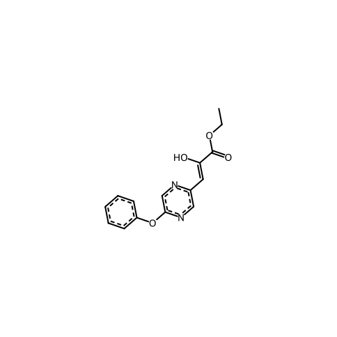 CCOC(=O)/C(O)=C/c1cnc(Oc2ccccc2)cn1